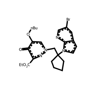 CCCCOc1cn(CC2(n3ccc4cc(Br)cnc43)CCCC2)nc(C(=O)OCC)c1=O